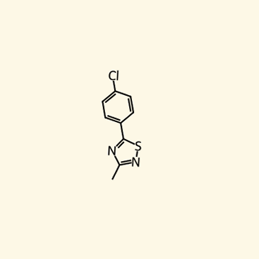 Cc1nsc(-c2ccc(Cl)cc2)n1